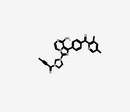 CC#CC(=O)N1CCN(c2nc(-c3ccc(C(=O)c4ncc(C)cc4C)cc3)c3c(N)nccn23)C1